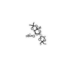 CCCCO[C@@H]1C2OC(C)(C)O[C@H]2O[C@@H]1C1COC(C)(C)O1